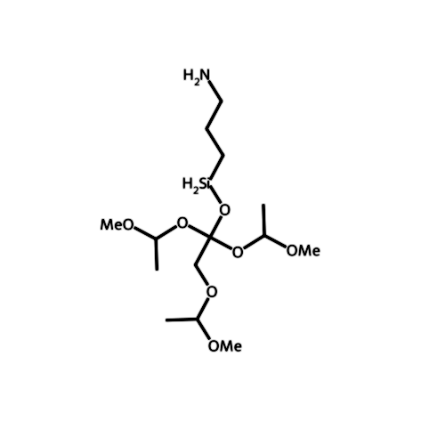 COC(C)OCC(O[SiH2]CCCN)(OC(C)OC)OC(C)OC